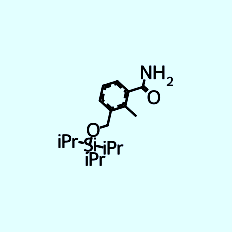 Cc1c(CO[Si](C(C)C)(C(C)C)C(C)C)cccc1C(N)=O